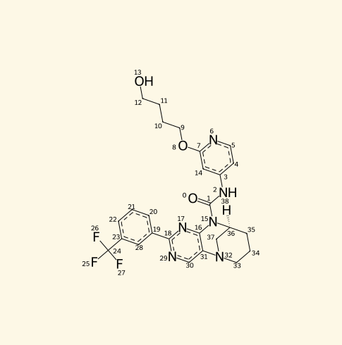 O=C(Nc1ccnc(OCCCCO)c1)N1c2nc(-c3cccc(C(F)(F)F)c3)ncc2N2CCC[C@H]1C2